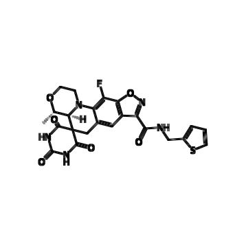 C[C@@H]1OCCN2c3c(cc4c(C(=O)NCc5cccs5)noc4c3F)CC3(C(=O)NC(=O)NC3=O)[C@@H]12